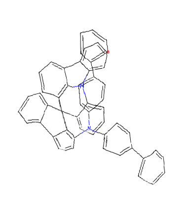 c1ccc(-c2ccc(N(c3ccc(-c4ccccc4)cc3)c3cccc4c3C3(c5ccccc5-4)c4ccccc4-n4c5ccccc5c5cccc3c54)cc2)cc1